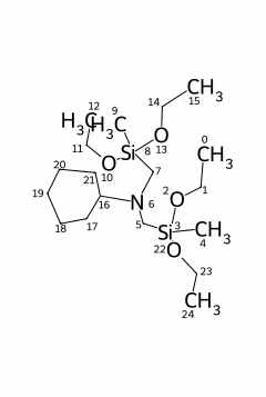 CCO[Si](C)(CN(C[Si](C)(OCC)OCC)C1CCCCC1)OCC